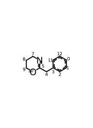 c1ccc(CC2=NCCCO2)cc1